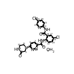 O.O=C1CN(c2ccc(C(=O)Nc3ccc(Cl)cc3C(=O)Nc3ccc(Cl)cn3)nn2)CCN1